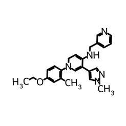 CCOc1ccc(N2C=C(c3cnn(C)c3)C(NCc3cccnc3)=CC2)c(C)c1